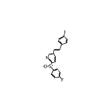 [O-][S+](c1ccc(F)cc1)c1ccc(C=Cc2ccc(F)cc2)cn1